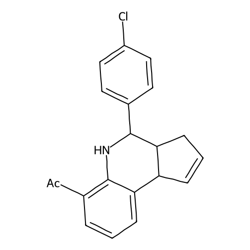 CC(=O)c1cccc2c1NC(c1ccc(Cl)cc1)C1CC=CC21